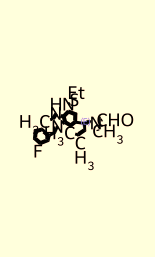 CCSNc1cc(/C(C=C(C)C)=C/N(C)C=O)cc2c1nc(C)n2Cc1cccc(F)c1